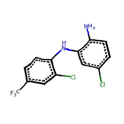 Nc1ccc(Cl)cc1Nc1ccc(C(F)(F)F)cc1Cl